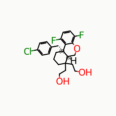 OCCC1(CCO)CCC[C@@]2(Cc3ccc(Cl)cc3)c3c(F)ccc(F)c3OC[C@@H]12